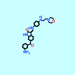 Nc1cccc(C(=O)c2ccc3c(c2)NC(=O)C3=CNc2ccc(NCCN3CCOCC3)cc2)c1